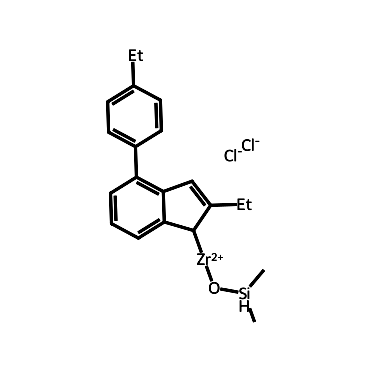 CCC1=Cc2c(-c3ccc(CC)cc3)cccc2[CH]1[Zr+2][O][SiH](C)C.[Cl-].[Cl-]